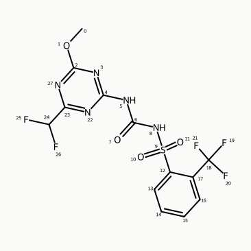 COc1nc(NC(=O)NS(=O)(=O)c2ccccc2C(F)(F)F)nc(C(F)F)n1